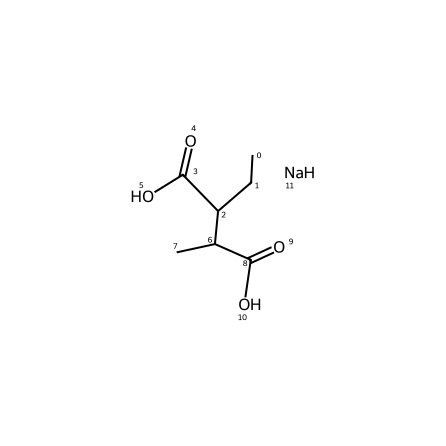 CCC(C(=O)O)C(C)C(=O)O.[NaH]